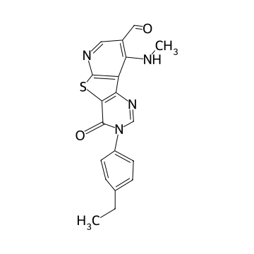 CCc1ccc(-n2cnc3c(sc4ncc(C=O)c(NC)c43)c2=O)cc1